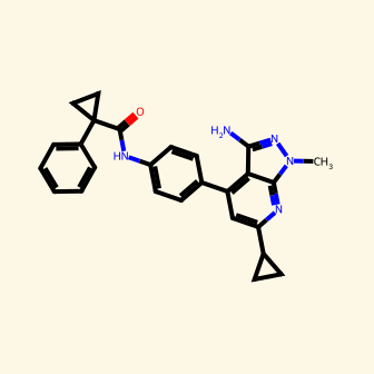 Cn1nc(N)c2c(-c3ccc(NC(=O)C4(c5ccccc5)CC4)cc3)cc(C3CC3)nc21